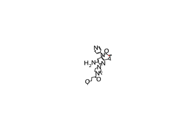 C=CC(=O)N(c1ccncc1)c1cc(N)c(N2CCN(C(=O)CCOC)[C@H](C)C2)nc1C1CC1